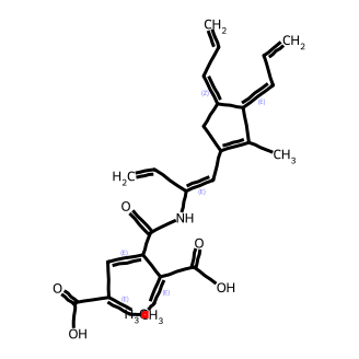 C=C/C=C1CC(/C=C(\C=C)NC(=O)C(=C/C(=C\C)C(=O)O)/C(=C\C)C(=O)O)=C(C)C/1=C/C=C